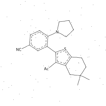 CC(=O)c1c(-c2cc(C#N)ccc2N2CCCC2)sc2c1CC(C)(C)CC2